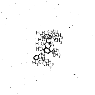 C=C1C2=C(O)[C@@](O)(C(=O)C(C)C(N)=O)[C@H]([C@@H](CO)N(C)C)C[C@@H]2Cc2c(N(C)C)cc(NCc3ccccc3SC(C)(C)C)c(O)c21